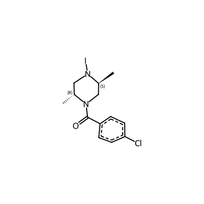 C[C@@H]1CN(I)[C@@H](C)CN1C(=O)c1ccc(Cl)cc1